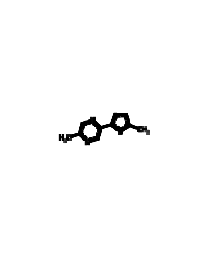 Cc1cnc(-c2ccc(C)s2)cn1